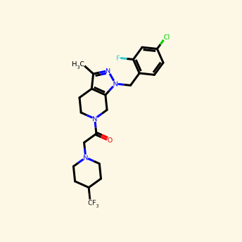 Cc1nn(Cc2ccc(Cl)cc2F)c2c1CCN(C(=O)CN1CCC(C(F)(F)F)CC1)C2